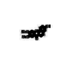 COc1cc(OC)c(C(=O)N2CCc3cc(O)ccc3C2)cc1OC